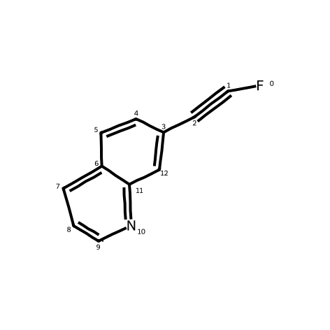 FC#Cc1ccc2cc[c]nc2c1